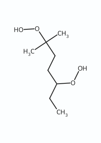 CCC(CCC(C)(C)OO)OO